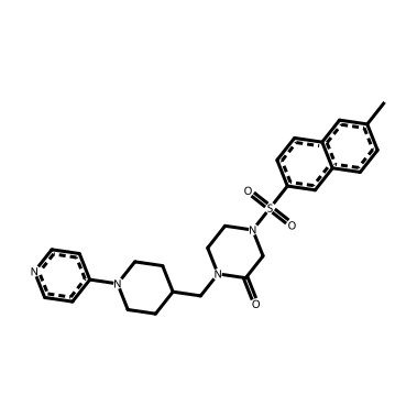 Cc1ccc2cc(S(=O)(=O)N3CCN(CC4CCN(c5ccncc5)CC4)C(=O)C3)ccc2c1